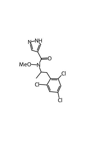 CON(C(=O)c1cn[nH]c1)C(C)Cc1c(Cl)cc(Cl)cc1Cl